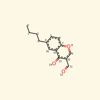 CCCCc1ccc2occ(C=O)c(=O)c2c1